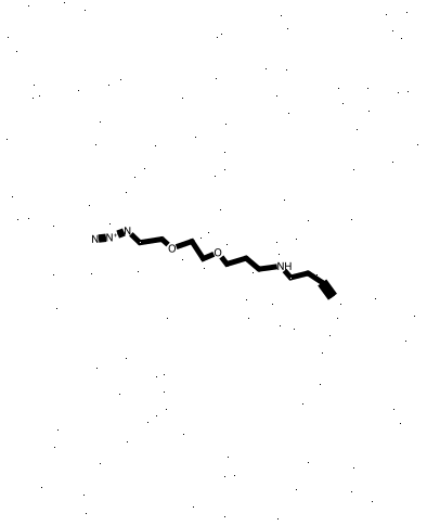 C#CCCNCCCOCCOCCN=[N+]=[N-]